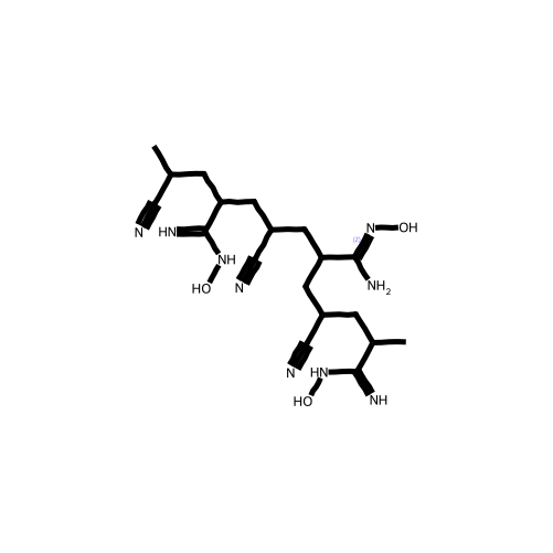 CC(C#N)CC(CC(C#N)CC(CC(C#N)CC(C)C(=N)NO)/C(N)=N/O)C(=N)NO